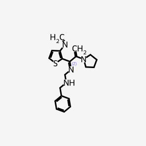 C=Nc1ccsc1/C(=N\CNCc1ccccc1)C(=C)N1CCCC1